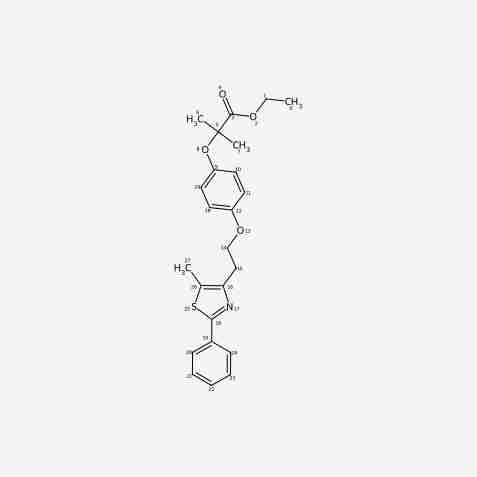 CCOC(=O)C(C)(C)Oc1ccc(OCCc2nc(-c3ccccc3)sc2C)cc1